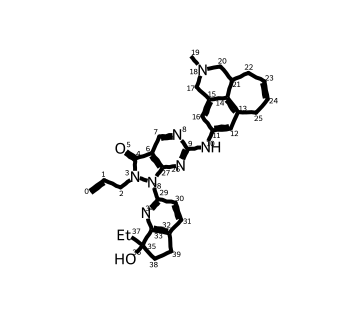 C=CCn1c(=O)c2cnc(Nc3cc4c5c(c3)CN(C)CC5CC=CC4)nc2n1-c1ccc2c(n1)C(O)(CC)CC2